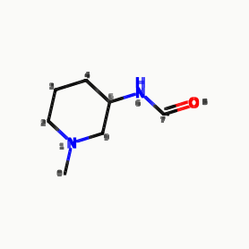 CN1CCCC(N[C]=O)C1